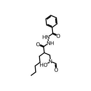 CCCCCC(CN(O)C=O)C(=O)NNC(=O)c1ccccc1